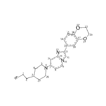 FCCC1CCN(c2ccn3cc(-c4ccc5c(c4)OCCO5)nc3c2)CC1